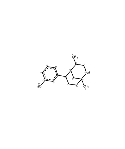 CC1CNC2(C)CCC(c3cccc(O)c3)C1C2